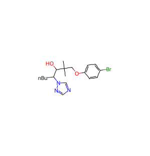 CCCCC(C(O)C(C)(C)COc1ccc(Br)cc1)n1cncn1